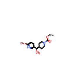 CC(C)(C)OC(=O)N1CCC(C(O)c2ccc(Br)nc2)CC1